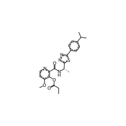 CCC(=O)Oc1c(OC)ccnc1C(=O)N[C@@H](C)c1nnc(-c2ccc(C(C)C)cc2)s1